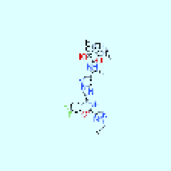 CC(C)(C)[C@@H](O)C(=O)N[C@@H](c1cnn2cc([C@@H](NC(=O)c3cnn(CC4CC4)n3)C3CCC(F)(F)CC3)nc2c1)C1CC1